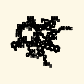 CC(=O)NCCCC[C@H](NC(=O)C(C)(CCCCN)NC(=O)[C@H](Cc1ccc2ccccc2c1)NC(=O)[C@H](Cc1ccc(OCCN)cc1)NC(=O)[C@H]1NC(=O)[C@H](CCCNC(N)=O)NC(=O)[C@H](Cc2c[nH]c3c(C)cccc23)NC(=O)[C@H]([C@@H](C)O)NC(=O)[C@H](CC(N)=O)NC(=O)[C@@H](NC(C)=O)C(C)(C)SSC1(C)C)C(=O)N[C@@H](CC(N)=O)C(=O)N[C@H](CC(C)C)C(N)=O